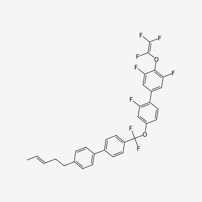 C/C=C/CCc1ccc(-c2ccc(C(F)(F)Oc3ccc(-c4cc(F)c(OC(F)=C(F)F)c(F)c4)c(F)c3)cc2)cc1